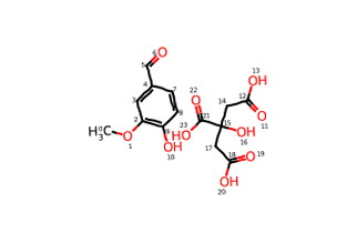 COc1cc(C=O)ccc1O.O=C(O)CC(O)(CC(=O)O)C(=O)O